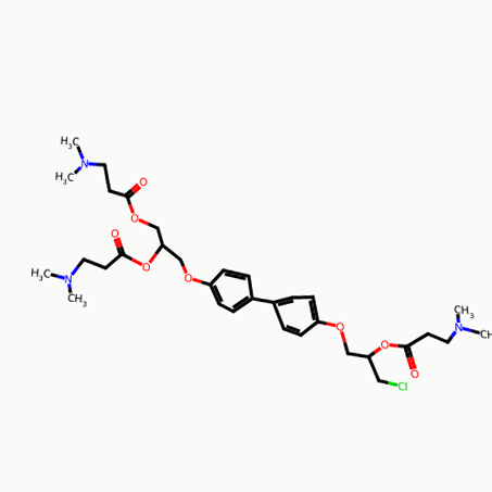 CN(C)CCC(=O)OCC(COc1ccc(-c2ccc(OCC(CCl)OC(=O)CCN(C)C)cc2)cc1)OC(=O)CCN(C)C